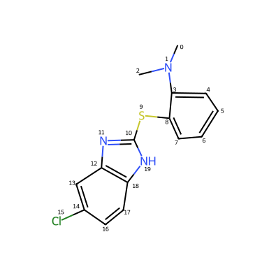 CN(C)c1ccccc1Sc1nc2cc(Cl)ccc2[nH]1